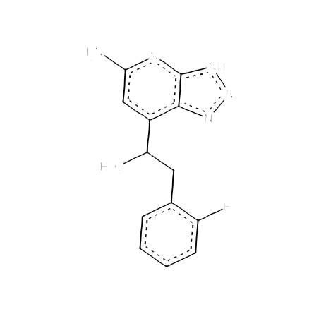 CC(Cc1ccccc1F)c1cc(N)nc2[nH]nnc12